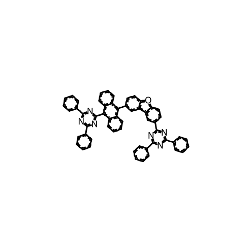 c1ccc(-c2nc(-c3ccccc3)nc(-c3ccc4oc5ccc(-c6c7ccccc7c(-c7nc(-c8ccccc8)nc(-c8ccccc8)n7)c7ccccc67)cc5c4c3)n2)cc1